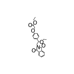 CCOC(=O)COc1ccc(C(CN2C(=O)c3ccccc3C2=O)OCC)cc1